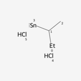 CC[CH](C)[Sn].Cl.Cl